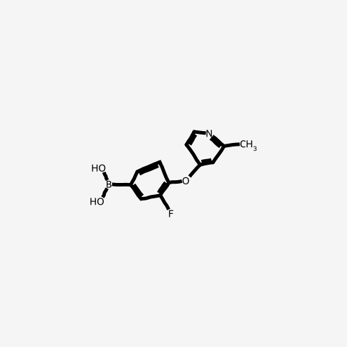 Cc1cc(Oc2ccc(B(O)O)cc2F)ccn1